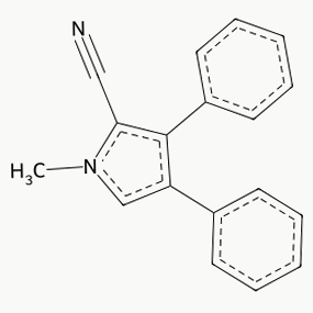 Cn1cc(-c2ccccc2)c(-c2ccccc2)c1C#N